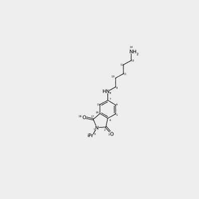 CC(C)N1C(=O)c2ccc(NCCCCCN)cc2C1=O